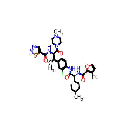 CCc1ccoc1C(=O)N[C@H](C(=O)Nc1ccc(/C(C)=C(/NC(=O)c2cnns2)C(=O)N2CCN(C)CC2)cc1F)[C@H]1CC[C@H](C)CC1